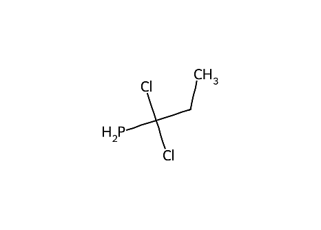 CCC(P)(Cl)Cl